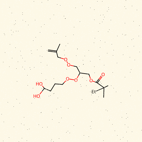 C=C(C)COOCC(COC(=O)C(C)(C)CC)OOCCCC(O)O